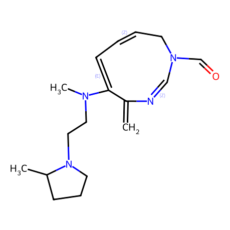 C=C1/N=C\N(C=O)C/C=C\C=C/1N(C)CCN1CCCC1C